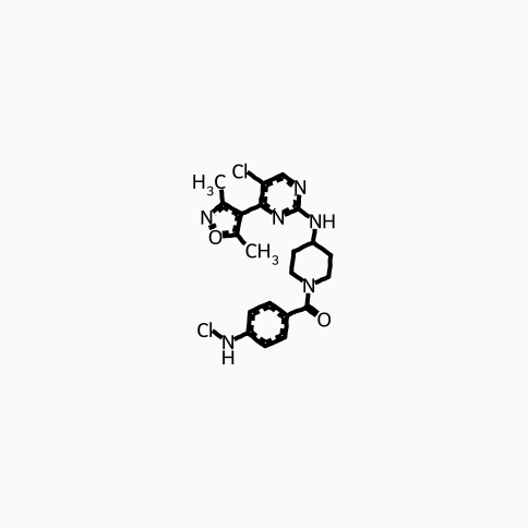 Cc1noc(C)c1-c1nc(NC2CCN(C(=O)c3ccc(NCl)cc3)CC2)ncc1Cl